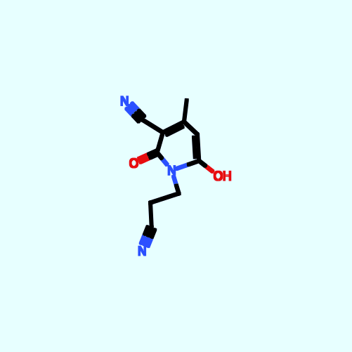 Cc1cc(O)n(CCC#N)c(=O)c1C#N